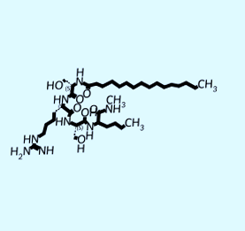 CCCCCCCCCCCCCCCC(=O)N[C@@H](CO)C(=O)N[C@@H](CCCCNC(=N)N)C(=O)N[C@@H](CO)C(O)NC(CCCC)C(=O)NC